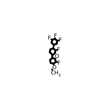 CCOc1ccc2c(oc3c(F)c(-c4cc(F)c(F)c(F)c4)ccc32)c1F